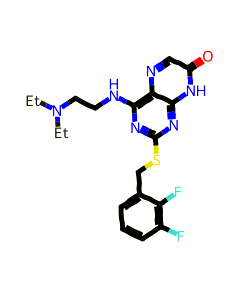 CCN(CC)CCNc1nc(SCc2cccc(F)c2F)nc2[nH]c(=O)cnc12